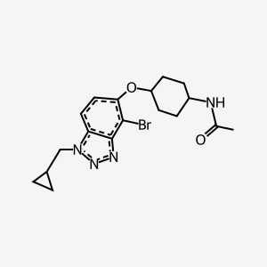 CC(=O)NC1CCC(Oc2ccc3c(nnn3CC3CC3)c2Br)CC1